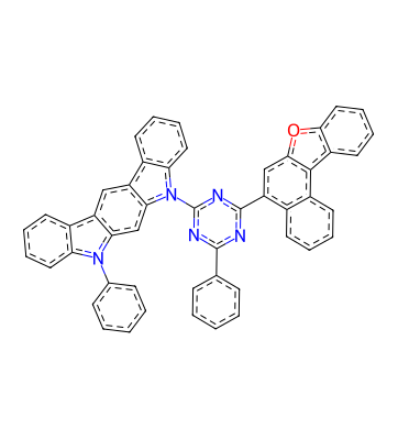 c1ccc(-c2nc(-c3cc4oc5ccccc5c4c4ccccc34)nc(-n3c4ccccc4c4cc5c6ccccc6n(-c6ccccc6)c5cc43)n2)cc1